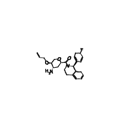 C=CCO[C@H]1CO[C@@H](C(=O)N2CCc3ccccc3[C@@H]2c2ccc(F)cc2)C[C@@H]1N